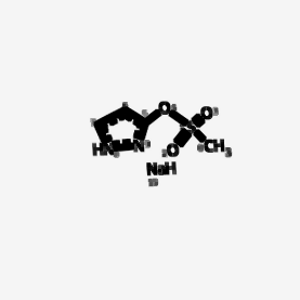 CS(=O)(=O)Oc1cc[nH]n1.[NaH]